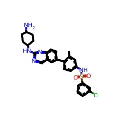 Cc1cc(NS(=O)(=O)c2cccc(Cl)c2)ccc1-c1ccc2nc(NC3CCC(N)CC3)ncc2c1